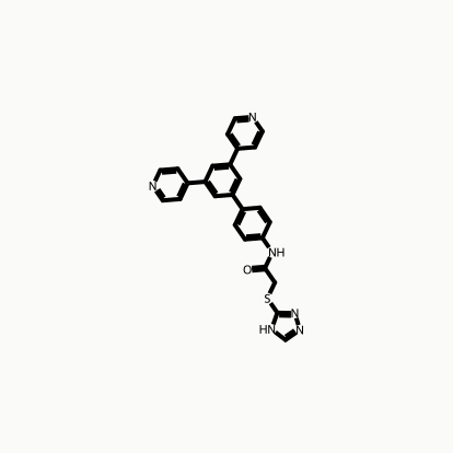 O=C(CSc1nnc[nH]1)Nc1ccc(-c2cc(-c3ccncc3)cc(-c3ccncc3)c2)cc1